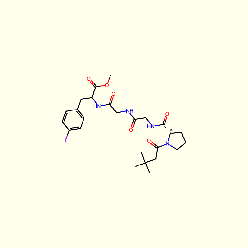 COC(=O)C(Cc1ccc(I)cc1)NC(=O)CNC(=O)CNC(=O)[C@@H]1CCCN1C(=O)CC(C)(C)C